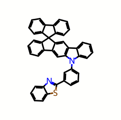 c1cc(-c2nc3ccccc3s2)cc(-n2c3ccccc3c3cc4c(cc32)-c2ccccc2C42c3ccccc3-c3ccccc32)c1